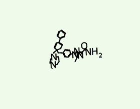 Cc1nc(C(N)=O)nn1-c1ccc(CC2(CN3CCCN(C)CC3)C=CC(c3ccccc3)=CC2)cc1